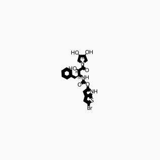 O=C(N[C@@H](Cc1ccccc1)[C@@H](O)C(=O)N1C[C@@H](O)[C@@H](O)C1)Oc1cc2cc(Br)sc2[nH]1